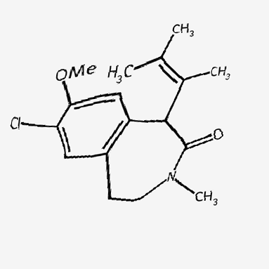 COc1cc2c(cc1Cl)CCN(C)C(=O)C2C(C)=C(C)C